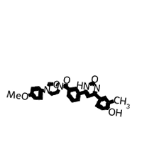 COc1ccc(N2CCN(C(=O)c3cccc(-c4cc(-c5ccc(O)c(C)c5)nc(=O)[nH]4)c3)CC2)cc1